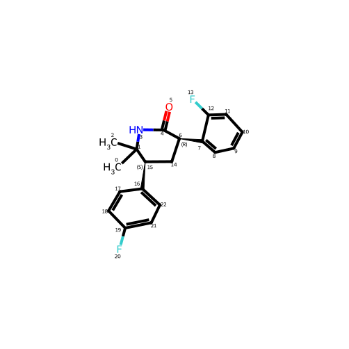 CC1(C)NC(=O)[C@@H](c2ccccc2F)C[C@H]1c1ccc(F)cc1